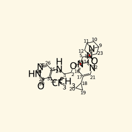 C[C@@H](COCCC(=O)N1C2CC1CN(c1ncc(C3CC3)cn1)C2)Nc1cn[nH]c(=O)c1C(F)(F)F